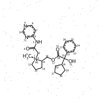 C[N@+]1(CC(=O)Nc2ccncn2)CCCC1COC(=O)C(O)(c1ccccc1)C1CCCC1